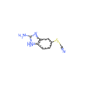 N#CSc1ccc2[nH]c(N)nc2c1